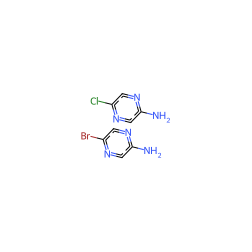 Nc1cnc(Br)cn1.Nc1cnc(Cl)cn1